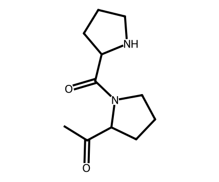 CC(=O)C1CCCN1C(=O)C1CCCN1